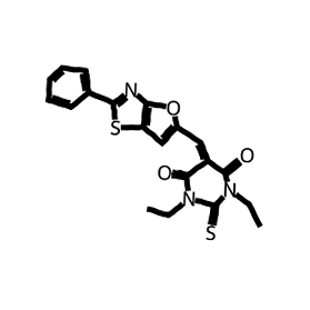 CCN1C(=O)C(=Cc2cc3sc(-c4ccccc4)nc3o2)C(=O)N(CC)C1=S